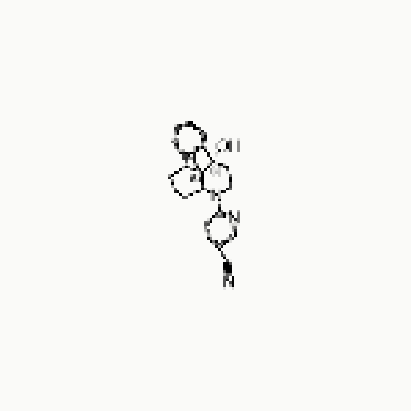 N#Cc1ccc(N2CC[C@](O)(c3ccccc3)[C@H]3CCCCC32)nc1